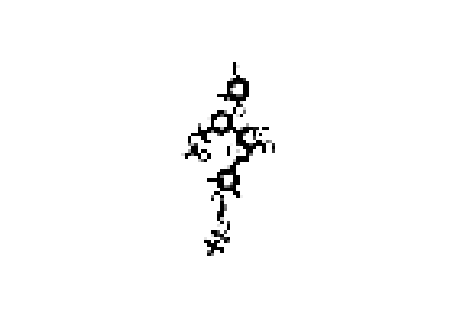 CC(=O)OC(C)(C)c1ccc(Oc2ccc(F)cc2F)c(-c2cn(C)c(=O)c3cc(-c4cc(C)c(OCCO[Si](C)(C)C(C)(C)C)c(C)c4)oc23)c1